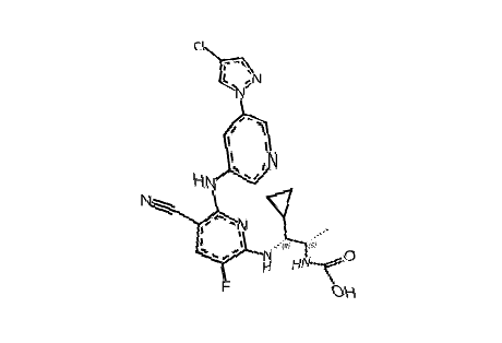 C[C@H](NC(=O)O)[C@H](Nc1nc(Nc2cncc(-n3cc(Cl)cn3)c2)c(C#N)cc1F)C1CC1